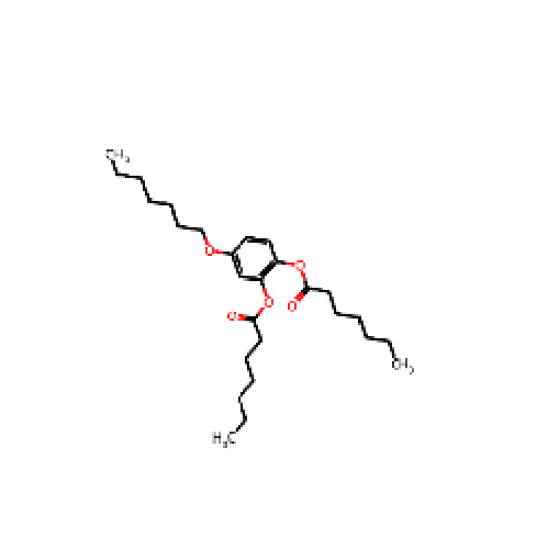 CCCCCCCOc1ccc(OC(=O)CCCCCC)c(OC(=O)CCCCCC)c1